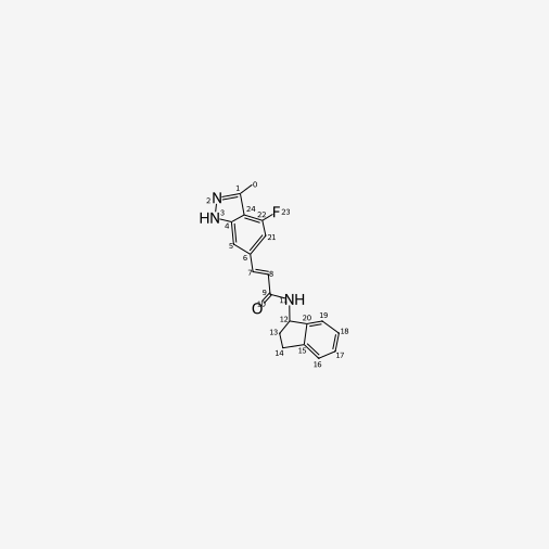 Cc1n[nH]c2cc(/C=C/C(=O)NC3CCc4ccccc43)cc(F)c12